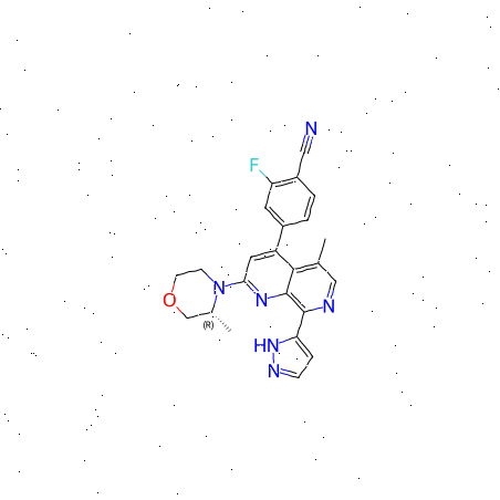 Cc1cnc(-c2ccn[nH]2)c2nc(N3CCOC[C@H]3C)cc(-c3ccc(C#N)c(F)c3)c12